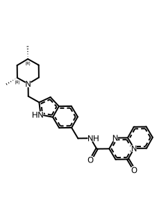 C[C@@H]1CCN(Cc2cc3ccc(CNC(=O)c4cc(=O)n5ccccc5n4)cc3[nH]2)[C@H](C)C1